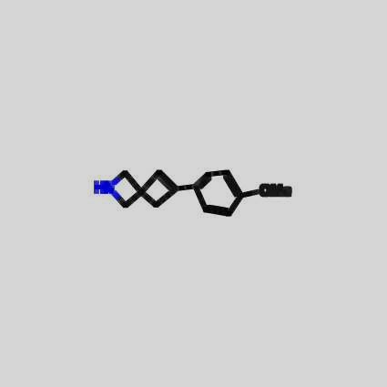 COc1ccc(C2=CC3(CNC3)C2)cc1